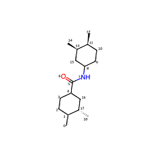 CC1CCC(C(=O)NC2CC[C@H](C)[C@H](C)C2)C[C@@H]1C